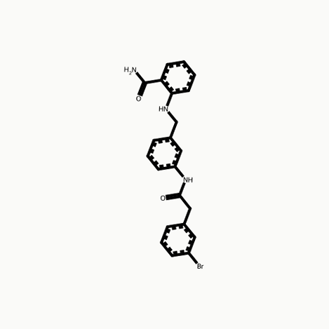 NC(=O)c1ccccc1NCc1cccc(NC(=O)Cc2cccc(Br)c2)c1